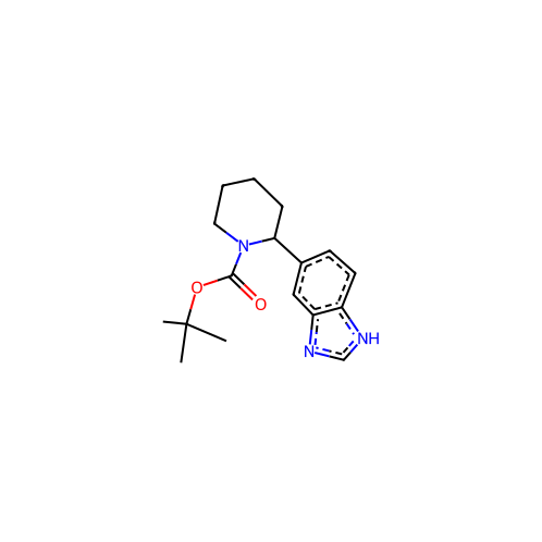 CC(C)(C)OC(=O)N1CCCCC1c1ccc2[nH]cnc2c1